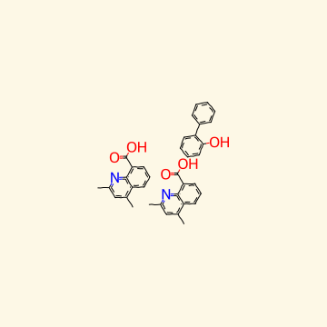 Cc1cc(C)c2cccc(C(=O)O)c2n1.Cc1cc(C)c2cccc(C(=O)O)c2n1.Oc1ccccc1-c1ccccc1